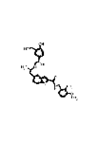 COc1cccc(CNC(=O)c2cc3cc(C[C@@H](C)NC[C@@H](O)c4ccc(O)c(CO)c4)ccc3[nH]2)c1C